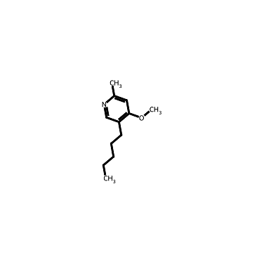 CCCCCc1cnc(C)cc1OC